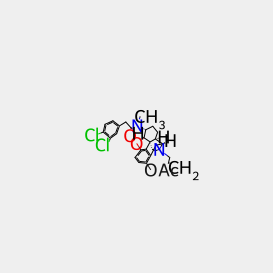 C=CCN1CC[C@@]23c4c5ccc(OC(C)=O)c4C[C@@H]1[C@@H]2CC[C@@H](N(C)C(=O)Cc1ccc(Cl)c(Cl)c1)[C@@H]3O5